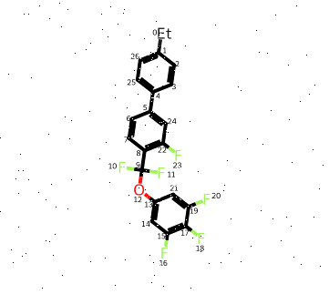 CCc1ccc(-c2ccc(C(F)(F)Oc3cc(F)c(F)c(F)c3)c(F)c2)cc1